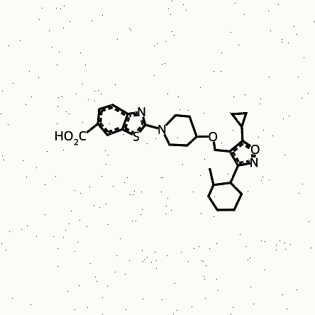 CC1CCCCC1c1noc(C2CC2)c1COC1CCN(c2nc3ccc(C(=O)O)cc3s2)CC1